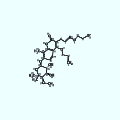 C=CCOc1c(CC=NOCCBr)c(=O)oc2c(C)c(O[C@@H]3OC(C)(C)[C@H](OC)[C@H](O)[C@H]3O)ccc12